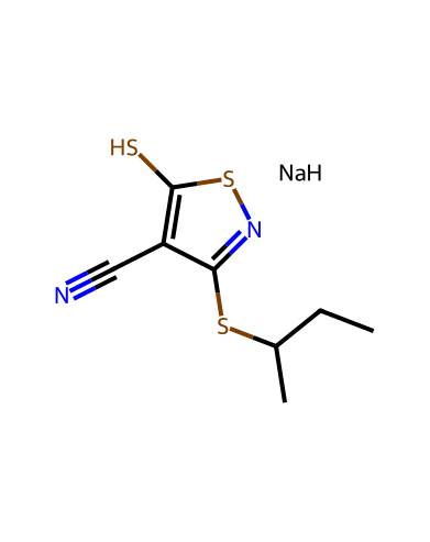 CCC(C)Sc1nsc(S)c1C#N.[NaH]